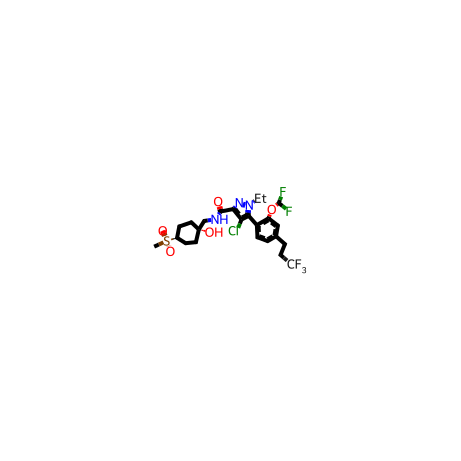 CCn1nc(C(=O)NC[C@]2(O)CC[C@@H](S(C)(=O)=O)CC2)c(Cl)c1-c1ccc(CCC(F)(F)F)cc1OC(F)F